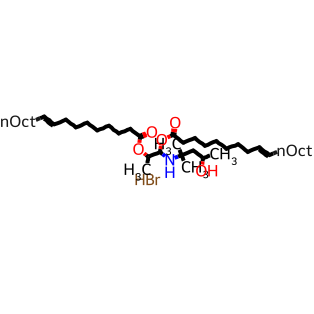 Br.CCCCCCCCC=CCCCCCCCC(=O)OC(C)C(NC(C)(C)CC(C)O)OC(=O)CCCCCCCC=CCCCCCCCC